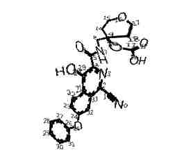 N#Cc1nc(C(=O)NCC2(OC(=O)O)CCOCC2)c(O)c2ccc(Oc3ccccc3)cc12